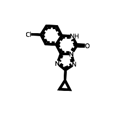 O=c1[nH]c2ccc(Cl)cc2c2nc(C3CC3)nn12